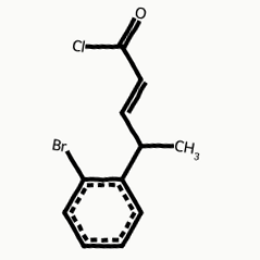 CC(C=CC(=O)Cl)c1ccccc1Br